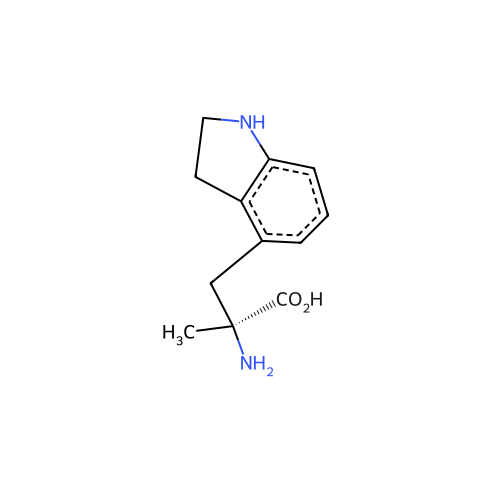 C[C@](N)(Cc1cccc2c1CCN2)C(=O)O